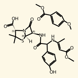 COC(=O)C=C(C)NC(C(=O)N[C@@H]1C(=O)N2[C@@H]1SC(C)(C)[C@@H]2C(=O)O)c1ccc(O)cc1.COC(=O)c1ccc(OC)cc1